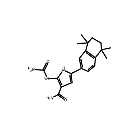 CC1(C)CCC(C)(C)c2cc(-c3cc(C(N)=O)c(NC(N)=O)[nH]3)ccc21